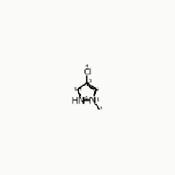 CN1C=C(Cl)[C]N1